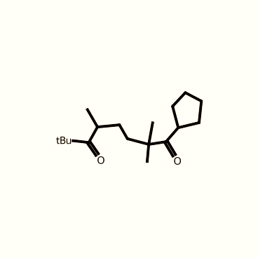 CC(CCC(C)(C)C(=O)C1CCCC1)C(=O)C(C)(C)C